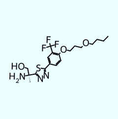 CCCCOCCCOc1ccc(-c2nnc([C@@](C)(N)CO)s2)cc1C(F)(F)F